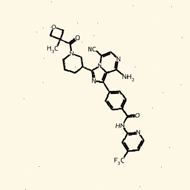 CC1(C(=O)N2CCCC(c3nc(-c4ccc(C(=O)Nc5cc(C(F)(F)F)ccn5)cc4)c4c(N)ncc(C#N)n34)C2)COC1